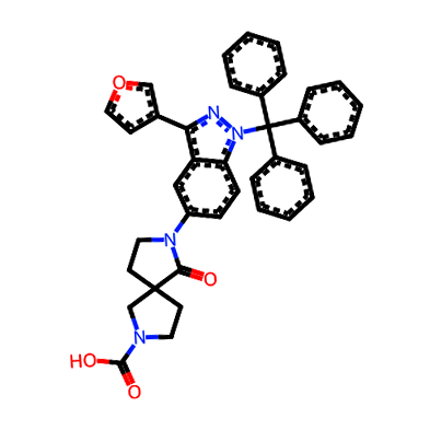 O=C(O)N1CCC2(CCN(c3ccc4c(c3)c(-c3ccoc3)nn4C(c3ccccc3)(c3ccccc3)c3ccccc3)C2=O)C1